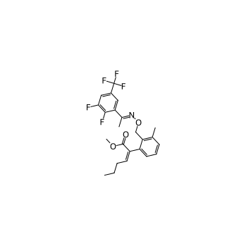 CCC/C=C(\C(=O)OC)c1cccc(C)c1CO/N=C(\C)c1cc(C(F)(F)F)cc(F)c1F